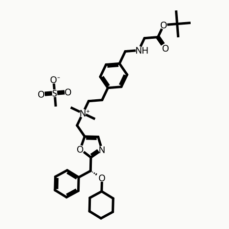 CC(C)(C)OC(=O)CNCc1ccc(CC[N+](C)(C)Cc2cnc([C@H](OC3CCCCC3)c3ccccc3)o2)cc1.CS(=O)(=O)[O-]